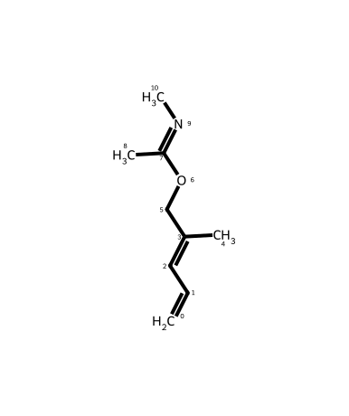 C=C/C=C(\C)CO/C(C)=N/C